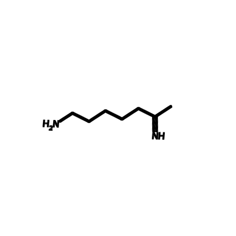 CC(=N)CCCCCN